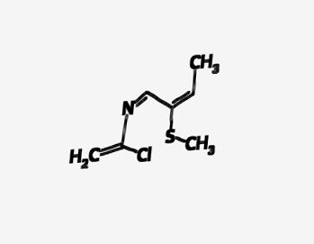 C=C(Cl)/N=C\C(=C/C)SC